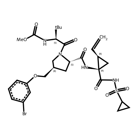 C=C[C@H]1C[C@]1(NC(=O)[C@@H]1C[C@@H](COc2cccc(Br)c2)CN1C(=O)[C@@H](NC(=O)OC)C(C)(C)C)C(=O)NS(=O)(=O)C1CC1